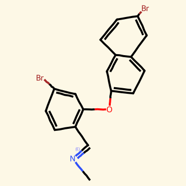 C/N=C/c1ccc(Br)cc1Oc1ccc2cc(Br)ccc2c1